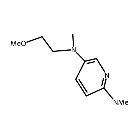 CNc1ccc(N(C)CCOC)cn1